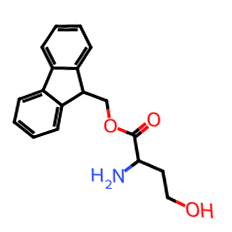 NC(CCO)C(=O)OCC1c2ccccc2-c2ccccc21